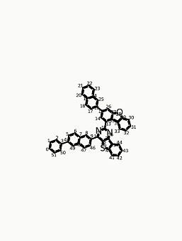 c1ccc(-c2ccc3cc(-c4nc(-c5cc(-c6ccc7ccccc7c6)cc6oc7ccccc7c56)nc5c4sc4ccccc45)ccc3c2)cc1